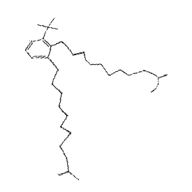 CC(C)CCCCCCCCCc1cc[c]c(C(C)(C)C)c1CCCCCCCCCC(C)C